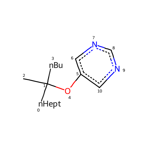 CCCCCCCC(C)(CCCC)Oc1cncnc1